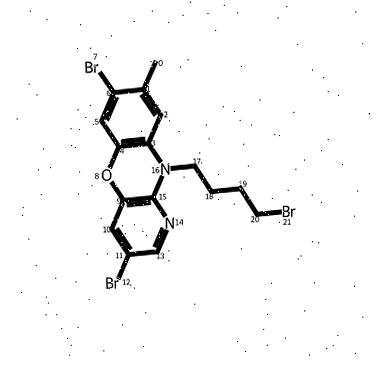 Cc1cc2c(cc1Br)Oc1cc(Br)cnc1N2CCCCBr